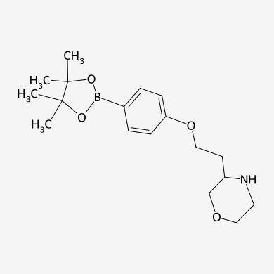 CC1(C)OB(c2ccc(OCCC3COCCN3)cc2)OC1(C)C